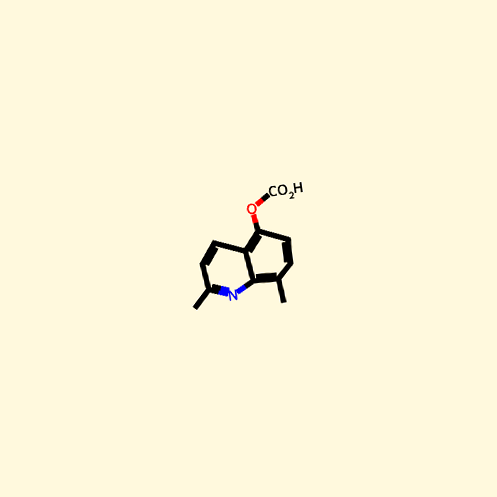 Cc1ccc2c(OC(=O)O)ccc(C)c2n1